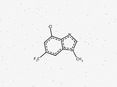 Cn1[c]nc2c(Cl)cc(C(F)(F)F)cc21